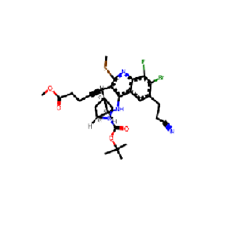 COC(=O)CCC#Cc1c(SC)nc2c(F)c(Br)c(CCC#N)cc2c1N[C@H]1[C@@H]2C[C@H]1N(C(=O)OC(C)(C)C)C2